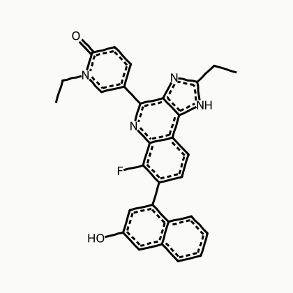 CCc1nc2c(-c3ccc(=O)n(CC)c3)nc3c(F)c(-c4cc(O)cc5ccccc45)ccc3c2[nH]1